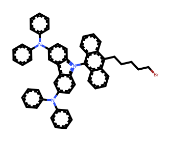 BrCCCCCc1c2ccccc2c(-n2c3ccc(N(c4ccccc4)c4ccccc4)cc3c3cc(N(c4ccccc4)c4ccccc4)ccc32)c2ccccc12